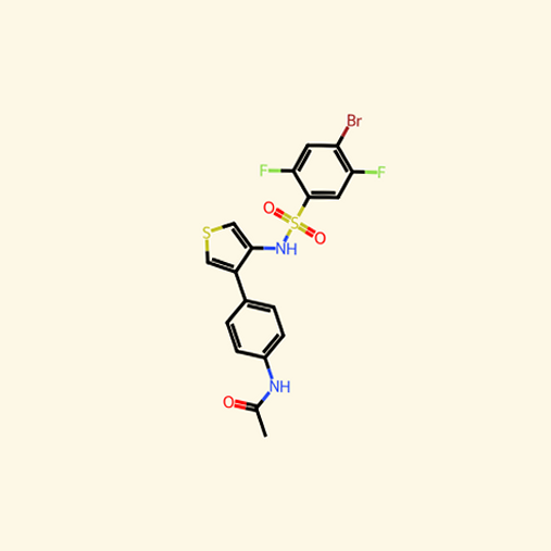 CC(=O)Nc1ccc(-c2cscc2NS(=O)(=O)c2cc(F)c(Br)cc2F)cc1